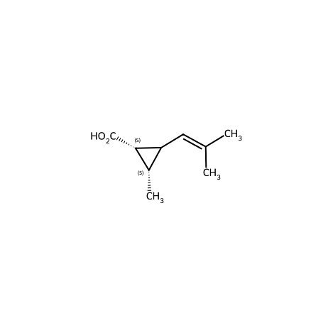 CC(C)=CC1[C@@H](C(=O)O)[C@H]1C